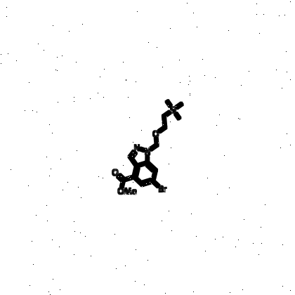 COC(=O)c1cc(Br)cc2c1cnn2COCC[Si](C)(C)C